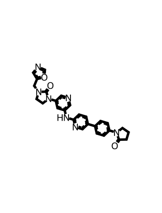 O=C1CCCN1c1ccc(-c2ccc(Nc3cncc(N4CCN(Cc5cnco5)C4=O)c3)nc2)cc1